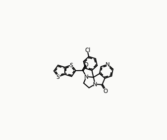 O=C(c1cc2sccc2s1)N1CCN2C(=O)c3ccncc3C12c1ccc(Cl)cc1